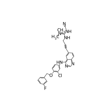 C[N+](C)=C(NC#N)NCC#Cc1ccc2ncnc(Nc3ccc(OCc4cccc(F)c4)c(Cl)c3)c2c1